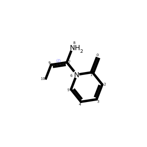 C=C1C=CC=CN1/C(N)=C\C